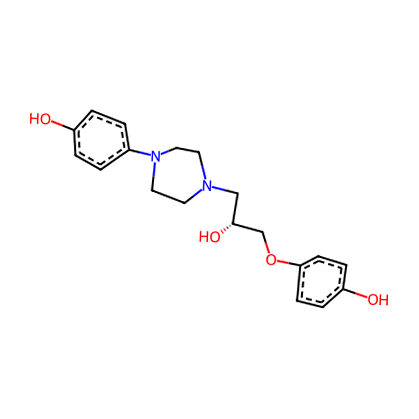 Oc1ccc(OC[C@H](O)CN2CCN(c3ccc(O)cc3)CC2)cc1